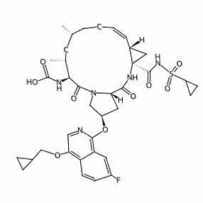 C[C@@H]1CCC=C[C@@H]2C[C@@]2(C(=O)NS(=O)(=O)C2CC2)NC(=O)[C@@H]2C[C@@H](Oc3ncc(OCC4CC4)c4ccc(F)cc34)CN2C(=O)[C@@H](NC(=O)O)[C@H](C)C1